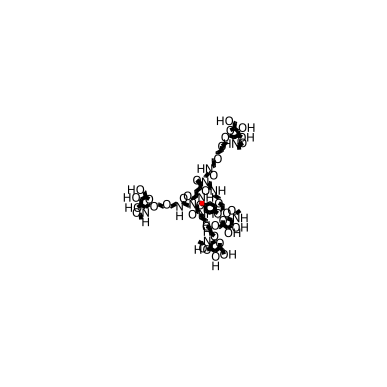 COC1CCC(C(=O)NC(CCC(=O)N(CC(=O)NCCOCCOCOC2OC(CO)C(O)C(O)C2NC(C)=O)CC(=O)NCCOCCOC2OC(CO)C(O)C(O)C2NC(C)=O)C(=O)N(CC(=O)NCCOCCOC2OC(CO)C(O)C(O)C2NC(C)=O)CC(=O)NCCOCCOC2OC(CO)C(O)C(O)C2NC(C)=O)CC1